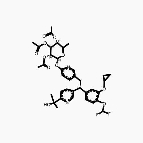 CC(=O)OC1[C@H](OC(C)=O)C(C)O[C@@H](Oc2ccc(C[C@H](c3ccc(C(C)(C)O)nc3)c3ccc(OC(F)F)c(OC4CC4)c3)cn2)[C@@H]1OC(C)=O